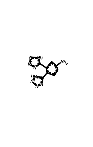 Nc1ccc(-c2nnn[nH]2)c(-c2nnn[nH]2)c1